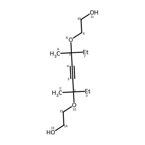 CCC(C)(C#CC(C)(CC)OCCO)OCCO